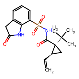 C=C[C@@H]1C[C@@]1(C(=O)NS(=O)(=O)c1cccc2c1NC(=O)C2)C(C)(C)C